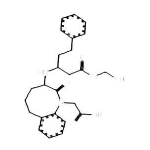 CCOC(=O)CC(CCc1ccccc1)NC1CCCc2ccccc2N(CC(=O)O)C1=O